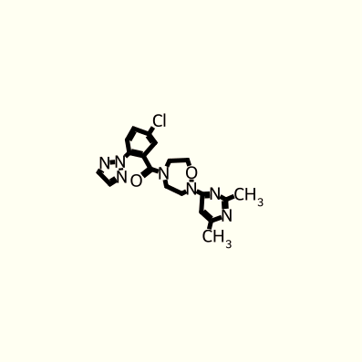 Cc1cc(N2CCN(C(=O)c3cc(Cl)ccc3-n3nccn3)CCO2)nc(C)n1